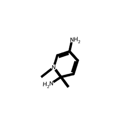 CN1C=C(N)C=CC1(C)N